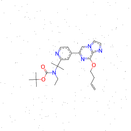 C=CCCOc1nc(-c2ccnc(C(C)(C)N(CC)C(=O)OC(C)(C)C)c2)cn2ccnc12